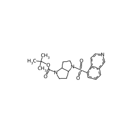 CC(C)(C)OC(=O)N1CCC2C1CCN2S(=O)(=O)c1cccc2cnccc12